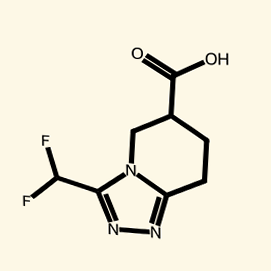 O=C(O)C1CCc2nnc(C(F)F)n2C1